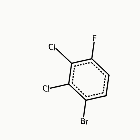 Fc1ccc(Br)c(Cl)c1Cl